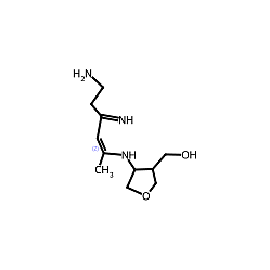 C/C(=C/C(=N)CCN)NC1COCC1CO